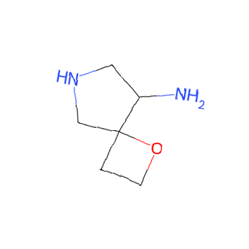 NC1CNCC12CCO2